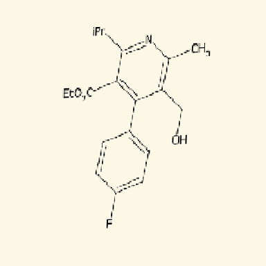 CCOC(=O)c1c(C(C)C)nc(C)c(CO)c1-c1ccc(F)cc1